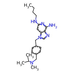 CCCCNc1cc2c(ncn2Cc2ccc(CN(C)C(C)C)cc2)c(N)n1